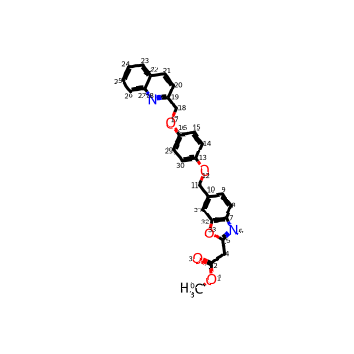 COC(=O)Cc1nc2ccc(COc3ccc(OCc4ccc5ccccc5n4)cc3)cc2o1